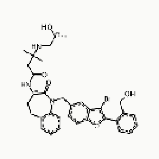 C[C@@H](O)CNC(C)(C)CC(=O)N[C@@H]1CCc2ccccc2N(Cc2ccc3oc(-c4ccccc4CO)c(Br)c3c2)C1=O